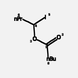 CCCCC(=O)OC(I)CCC